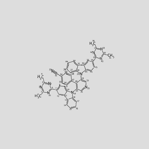 Cc1nc(C)nc(-c2ccc3c(c2)c2ccccc2n3-c2cncc(-n3c4ccccc4c4cc(-c5nc(C)nc(C)n5)ccc43)c2-c2ccc(C#N)cc2)n1